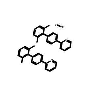 Cc1cccc(C)c1-c1ccc(-c2ccccn2)cc1.Cc1cccc(C)c1-c1ccc(-c2ccccn2)cc1.[Cl][Os]